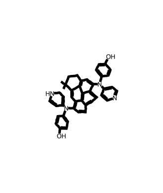 CC1(C)CCc2cc(N(c3ccncc3)c3ccc(O)cc3)c3ccc4ccc(N(C5=CCNC=C5)c5ccc(O)cc5)c5cc1c2c3c45